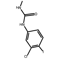 CNC(=O)Nc1ccc(I)c(Cl)c1